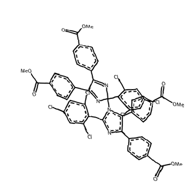 COC(=O)c1ccc(C2=NC(c3c(Cl)cc(Cl)cc3Cl)(n3c(-c4c(Cl)cc(Cl)cc4Cl)nc(-c4ccc(C(=O)OC)cc4)c3-c3ccc(C(=O)OC)cc3)N=C2c2ccc(C(=O)OC)cc2)cc1